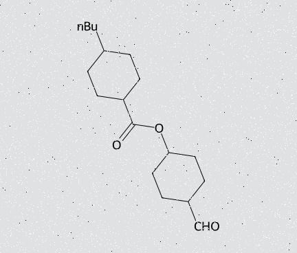 CCCCC1CCC(C(=O)OC2CCC(C=O)CC2)CC1